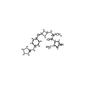 Cc1n[nH]cc1C(=O)N(C)CC1CC(Oc2ccc(CN3CCCC3)cc2)C1